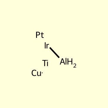 [AlH2][Ir].[Cu].[Pt].[Ti]